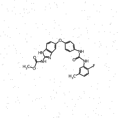 COC(=O)Nc1nc2cc(Oc3ccc(NC(=O)Nc4cc(C)ccc4F)cc3)ccc2[nH]1